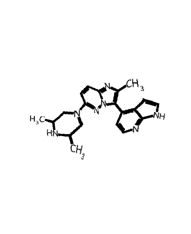 Cc1nc2ccc(N3CC(C)NC(C)C3)nn2c1-c1ccnc2[nH]ccc12